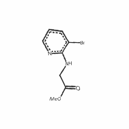 COC(=O)CNc1ncccc1Br